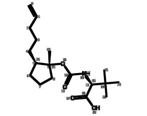 C=CCCC[C@@H]1CCC[C@@]1(C)OC(=O)N[C@H](C(=O)O)C(C)(C)C